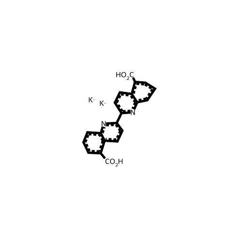 O=C(O)c1cccc2nc(-c3ccc4c(C(=O)O)cccc4n3)ccc12.[K].[K]